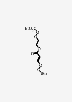 CCOC(=O)OOCCOC(=O)C=COOC(C)(C)C